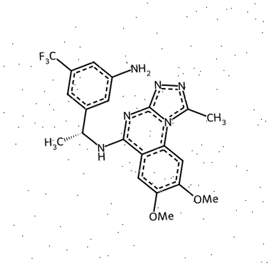 COc1cc2c(N[C@H](C)c3cc(N)cc(C(F)(F)F)c3)nc3nnc(C)n3c2cc1OC